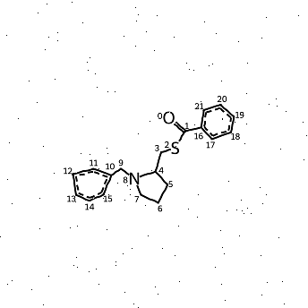 O=C(SCC1CCCN1Cc1ccccc1)c1ccccc1